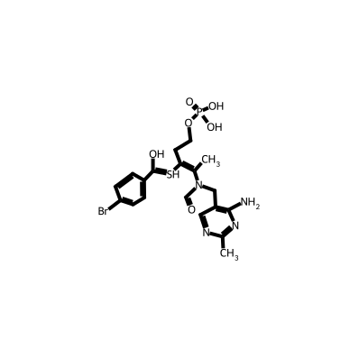 C/C(=C(CCOP(=O)(O)O)/[SH]=C(\O)c1ccc(Br)cc1)N(C=O)Cc1cnc(C)nc1N